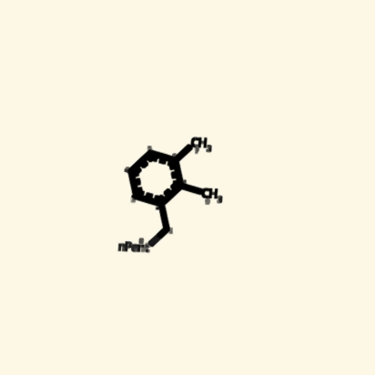 CCCCCCc1[c]ccc(C)c1C